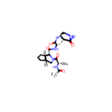 CC(C)(C)[C@H](NC(=O)C(F)(F)F)C(=O)N1C[C@@H]2CCC[C@@H]2[C@H]1C(=O)N[C@@H](C[C@@H]1CCNC1=O)C(N)=O